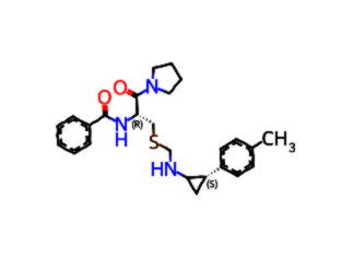 Cc1ccc([C@@H]2CC2NCSC[C@H](NC(=O)c2ccccc2)C(=O)N2CCCC2)cc1